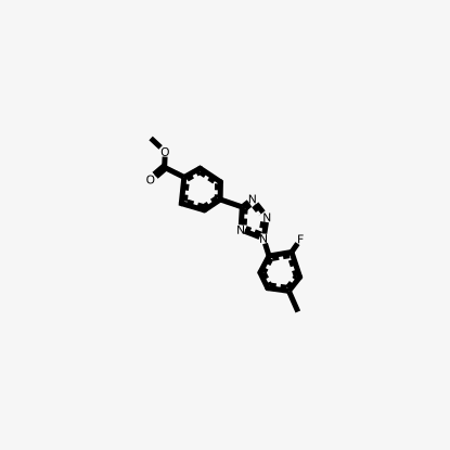 COC(=O)c1ccc(-c2nnn(-c3ccc(C)cc3F)n2)cc1